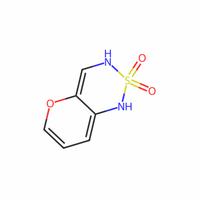 O=S1(=O)NC=C2OC=CC=C2N1